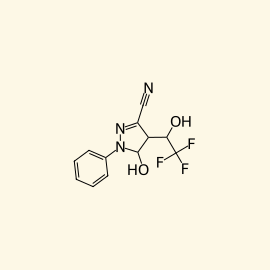 N#CC1=NN(c2ccccc2)C(O)C1C(O)C(F)(F)F